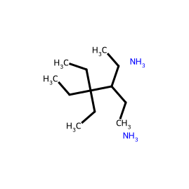 CCC(CC)C(CC)(CC)CC.N.N